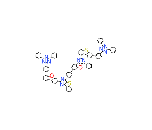 c1ccc(-c2nc(-c3ccccc3)nc(-c3ccc(-c4cccc5c4oc4cc(-c6nc(-c7ccc(-c8ccc9c(c8)oc8c(-c%10ccccc%10)nc(-c%10cccc%11sc%12cc(-c%13cccc(-c%14nc(-c%15ccccc%15)nc(-c%15ccccc%15)n%14)c%13)ccc%12c%10%11)nc89)cc7)c7sc8ccccc8c7n6)ccc45)cc3)n2)cc1